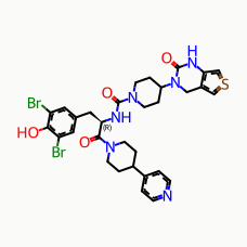 O=C(N[C@H](Cc1cc(Br)c(O)c(Br)c1)C(=O)N1CCC(c2ccncc2)CC1)N1CCC(N2Cc3cscc3NC2=O)CC1